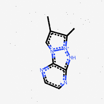 Cc1cn2c3nccnc3[nH][n+]2c1C